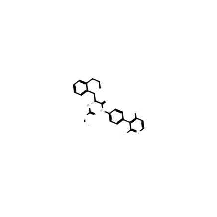 Cc1ccnc(C)c1-c1ccc(NC(=O)[C@@H](NC(=O)OC(C)(C)C)[C@H]2CCCc3ccccc32)cc1